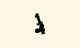 COC(=O)CCCCCCC(=O)Nc1cccc(-c2nc(N3CCOCC3)nc3c2ncn3C(C)C)c1